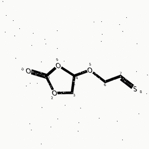 O=C1OCC(OCC=S)O1